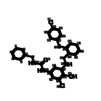 O=C(NCc1ccccc1)Nc1cc(Cl)c(O)c(NCc2ccccc2Sc2ccc(Cl)cc2)c1